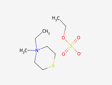 CCOS(=O)(=O)[O-].CC[N+]1(C)CCSCC1